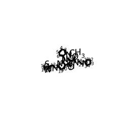 Cn1c2ccccc2n2c3nc(NCc4nccs4)ccc3c(=O)c(C(=O)NCCN3CCCC3)c12